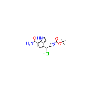 CC(c1ccc(C(N)=O)c2[nH]ccc12)C1CN(C(=O)OC(C)(C)C)C1.Cl